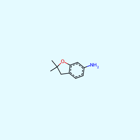 CC1(C)Cc2ccc(N)cc2O1